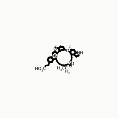 Cc1cnn2c1-c1cc(ccc1F)Oc1c(F)cc3[nH]ccc3c1CCS(=O)(=O)CC(C)(C)CCCC2c1cccc(CCC(=O)O)c1